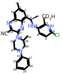 Cc1cc([C@@H](C)Nc2ccc(Cl)nc2C(=O)O)c2nc(N3CCN(c4ccccc4)CC3C)c(C#N)nc2c1